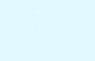 COc1cc(C2=CCCCC2)ccc1-c1cccc2[nH]nc(NCc3ccccc3C(=O)O)c12